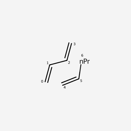 C=CC=C.C=CCCC